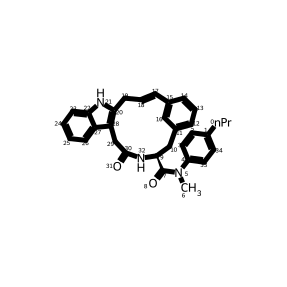 CCCc1ccc(N(C)C(=O)[C@@H]2Cc3cccc(c3)/C=C/Cc3[nH]c4ccccc4c3CC(=O)N2)cc1